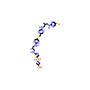 CSc1cnc(NCC(C)CNc2cnc(CSc3cnc(NC[C@H](C)CNc4ncc(S(=O)(=O)N5CC(O)C5)s4)nc3)cn2)nc1